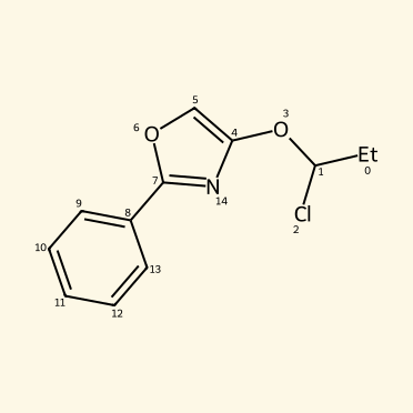 CCC(Cl)Oc1coc(-c2ccccc2)n1